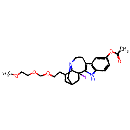 COCCOCOCCC1CC2CN3CCc4c([nH]c5ccc(OC(C)=O)cc45)C(I)(C2)C13